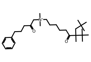 CC(C)(C)CC(C)(C(=O)CCCCC[N+](C)(C)CC(=O)CCCc1ccccc1)C(C)(C)C